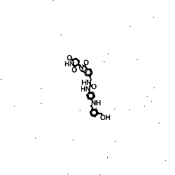 O=C1CCC(N2Cc3cc(CNC(=O)Nc4ccc(NCc5cccc(CO)c5)cc4)ccc3C2=O)C(=O)N1